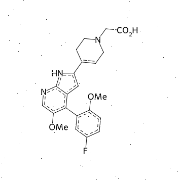 COc1ccc(F)cc1-c1c(OC)cnc2[nH]c(C3=CCN(CC(=O)O)CC3)cc12